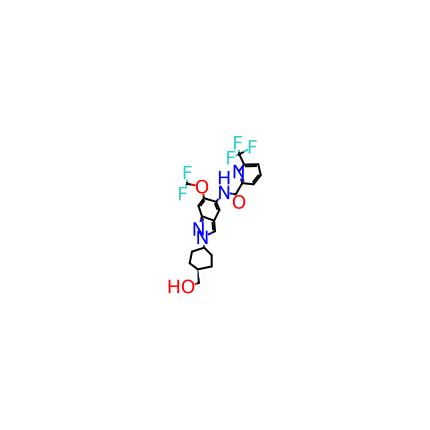 O=C(Nc1cc2cn([C@H]3CC[C@H](CO)CC3)nc2cc1OC(F)F)c1cccc(C(F)(F)F)n1